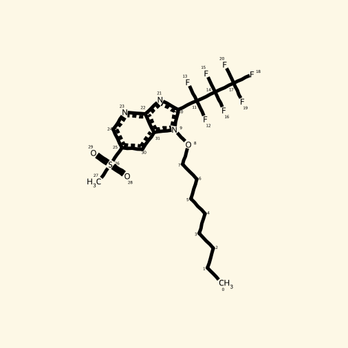 CCCCCCCCOn1c(C(F)(F)C(F)(F)C(F)(F)F)nc2ncc(S(C)(=O)=O)cc21